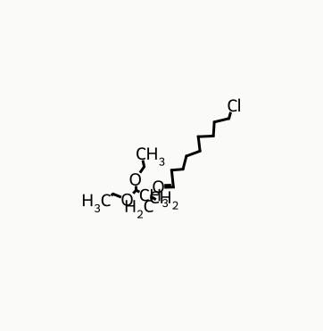 C=C.CCOC(C)OCC.O=CCCCCCCCCCl